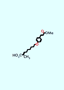 COC(=O)C=Cc1ccc(OCCCCCCC=C(C)C(=O)O)cc1